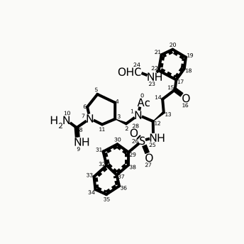 CC(=O)N(C[C@@H]1CCCN(C(=N)N)C1)[C@@H](CCC(=O)c1ccccc1NC=O)NS(=O)(=O)c1ccc2ccccc2c1